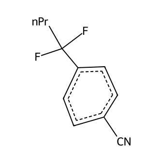 CCCC(F)(F)c1ccc(C#N)cc1